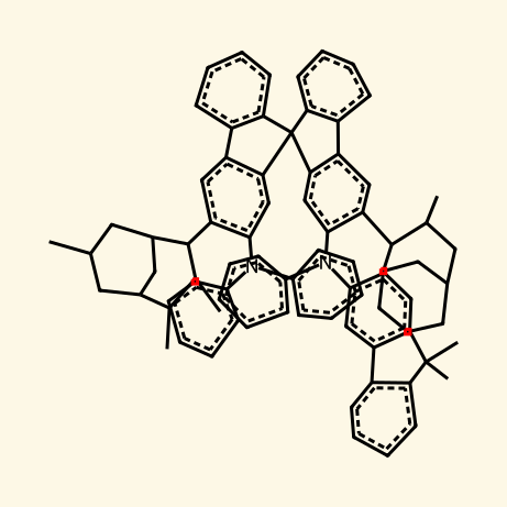 CC1CC2CC(C1)C(c1cc3c(cc1N(c1ccccc1)c1ccccc1)C1(c4ccccc4-c4cc(C5C(C)CC6CCCC5C6)c(N(c5ccccc5)c5ccc6c(c5)-c5ccccc5C6(C)C)cc41)c1ccccc1-3)C(C)C2C